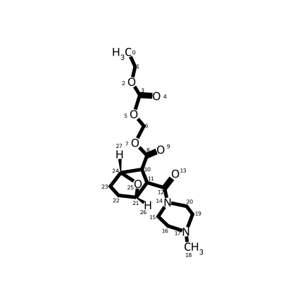 CCOC(=O)OCOC(=O)C1C(C(=O)N2CCN(C)CC2)[C@@H]2CC[C@H]1O2